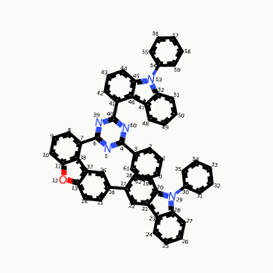 c1ccc(-c2nc(-c3cccc4oc5ccc(-c6ccc7c(c6)c6ccccc6n7-c6ccccc6)cc5c34)nc(-c3cccc4c3c3ccccc3n4-c3ccccc3)n2)cc1